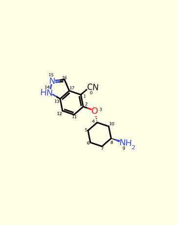 N#Cc1c(O[C@H]2CCC[C@H](N)C2)ccc2[nH]ncc12